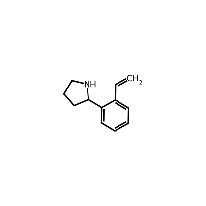 C=Cc1ccccc1C1CCCN1